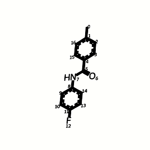 Cc1ccc(C(=O)Nc2ccc(F)cc2)cc1